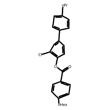 CCCCCCc1ccc(C(=O)Oc2ccc(-c3ccc(CCC)cc3)cc2Cl)cc1